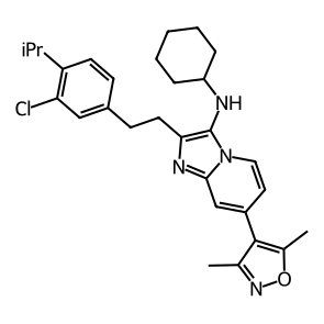 Cc1noc(C)c1-c1ccn2c(NC3CCCCC3)c(CCc3ccc(C(C)C)c(Cl)c3)nc2c1